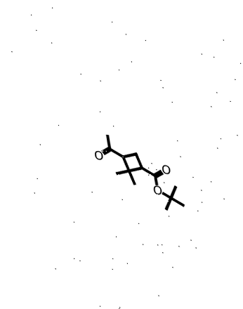 CC(=O)C1CC(C(=O)OC(C)(C)C)C1(C)C